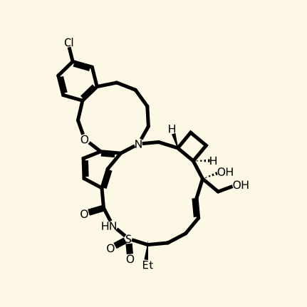 CC[C@@H]1CC/C=C/[C@](O)(CO)[C@@H]2CC[C@H]2CN2CCCCc3cc(Cl)ccc3COc3ccc(cc32)C(=O)NS1(=O)=O